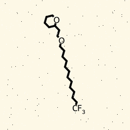 FC(F)(F)CCCCCCCCCCCCOCCC1CCCCO1